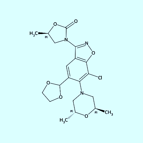 C[C@@H]1CN(c2noc3c(Cl)c(N4C[C@@H](C)O[C@H](C)C4)c(C4OCCO4)cc23)C(=O)O1